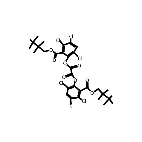 CC(C)(C)C(C)(C)COC(=O)c1c(Cl)c(Cl)cc(Cl)c1OC(=O)C(=O)Oc1c(Cl)cc(Cl)c(Cl)c1C(=O)OCC(C)(C)C(C)(C)C